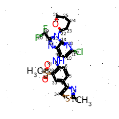 Cc1nc(-c2ccc(Nc3cc(Cl)nc4c3nc(C(F)F)n4C3CCCCO3)c(S(C)(=O)=O)c2)cs1